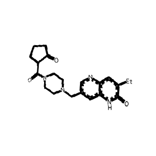 CCc1cc2ncc(CN3CCN(C(=O)C4CCCC4=O)CC3)cc2[nH]c1=O